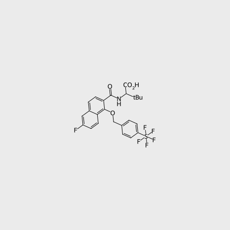 CC(C)(C)C(NC(=O)c1ccc2cc(F)ccc2c1OCc1ccc(S(F)(F)(F)(F)F)cc1)C(=O)O